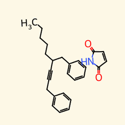 CCCCCC(C#CCc1ccccc1)Cc1ccccc1.O=C1C=CC(=O)N1